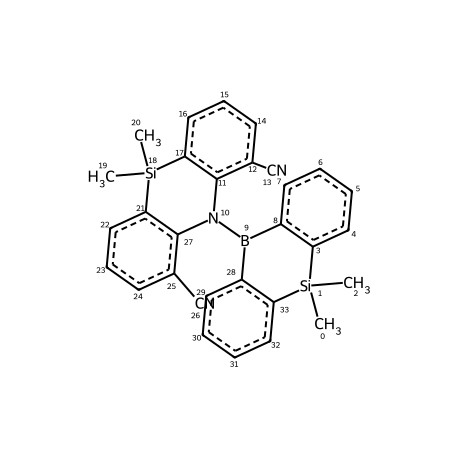 C[Si]1(C)c2ccccc2B(N2c3c(C#N)cccc3[Si](C)(C)c3cccc(C#N)c32)c2ccccc21